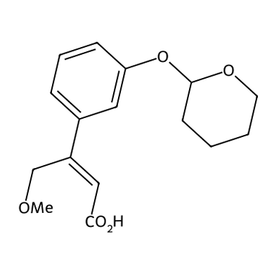 COCC(=CC(=O)O)c1cccc(OC2CCCCO2)c1